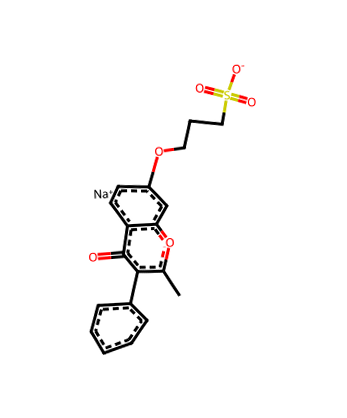 Cc1oc2cc(OCCCS(=O)(=O)[O-])ccc2c(=O)c1-c1ccccc1.[Na+]